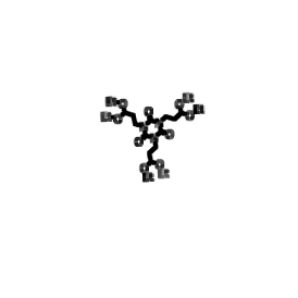 CCOC(CCn1c(=O)n(CCC(OCC)OCC)c(=O)n(CCC(OCC)OCC)c1=O)OCC